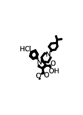 COC(=O)C1=C(C(=O)O)C2(CCN(C3CCC(C(C)C)CC3)CC2)N(c2ccccc2)C1.Cl